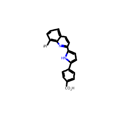 CC(C)c1cccc2ccc(-c3ccc(-c4ccc(C(=O)O)cc4)[nH]3)nc12